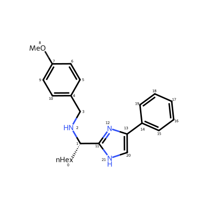 CCCCCC[C@H](NCc1ccc(OC)cc1)c1nc(-c2ccccc2)c[nH]1